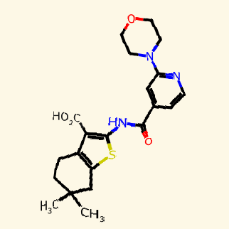 CC1(C)CCc2c(sc(NC(=O)c3ccnc(N4CCOCC4)c3)c2C(=O)O)C1